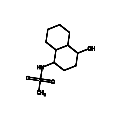 CS(=O)(=O)NC1CCC(O)C2CCCCC12